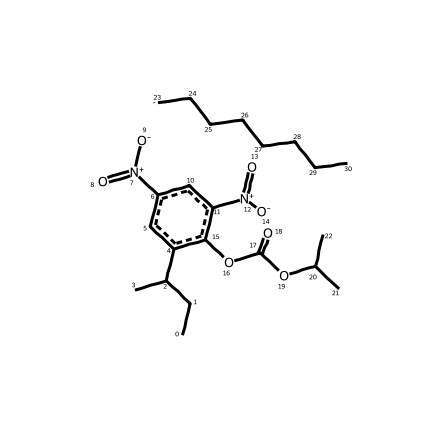 CCC(C)c1cc([N+](=O)[O-])cc([N+](=O)[O-])c1OC(=O)OC(C)C.[CH2]CCCCCCC